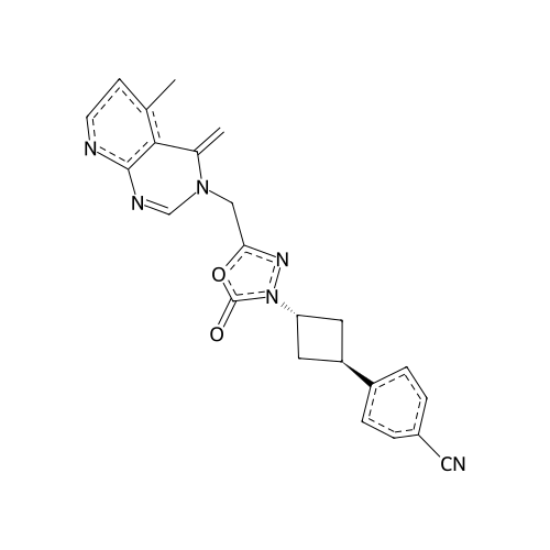 C=C1c2c(C)ccnc2N=CN1Cc1nn([C@H]2C[C@H](c3ccc(C#N)cc3)C2)c(=O)o1